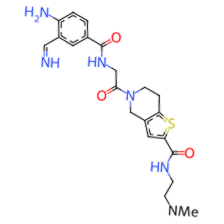 CNCCNC(=O)c1cc2c(s1)CCN(C(=O)CNC(=O)c1ccc(N)c(C=N)c1)C2